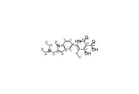 CCc1c(-c2ccc3c(c2)cc(CN(CC)CC)n3C)[nH]c(=O)c(C(=O)O)c1O